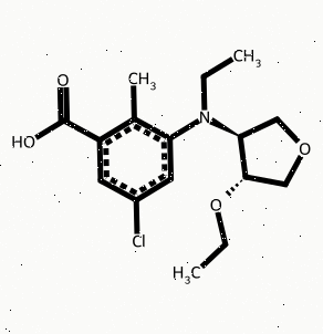 CCO[C@H]1COC[C@@H]1N(CC)c1cc(Cl)cc(C(=O)O)c1C